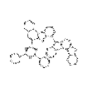 C1=CC2C=C(c3nc(-c4ccccc4)nc(-c4ccccc4)n3)c3oc4c(-n5c6ccccc6c6c7c(ccc65)sc5ccccc57)cccc4c3C2C=C1